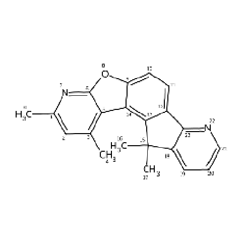 Cc1cc(C)c2c(n1)oc1ccc3c(c12)C(C)(C)c1cccnc1-3